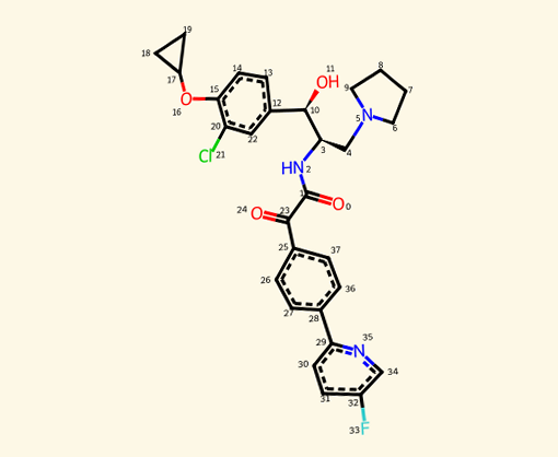 O=C(N[C@H](CN1CCCC1)[C@H](O)c1ccc(OC2CC2)c(Cl)c1)C(=O)c1ccc(-c2ccc(F)cn2)cc1